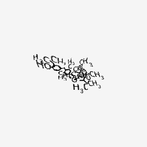 CCOC(=O)C(CP(=O)(COc1cc(C)c(Cc2ccc(O)c(C(C)C)c2)c(C)c1)N[C@H](C(=O)OCC)C(C)C)C(C)C